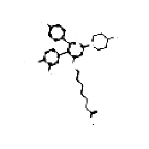 COc1ccc(-c2c(OCCCCCCC(=O)NO)cc(N3CCC(N)CC3)nc2-c2ccc(C#N)cc2)cc1O